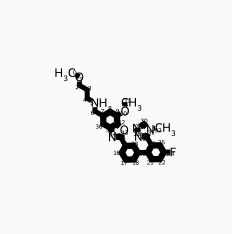 COCCCNCc1cc(OC)c2oc(-c3cccc(-c4ccc(F)cc4-c4nncn4C)c3)nc2c1